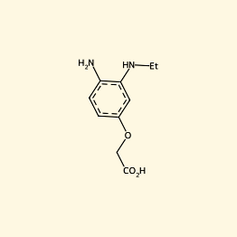 CCNc1cc(OCC(=O)O)ccc1N